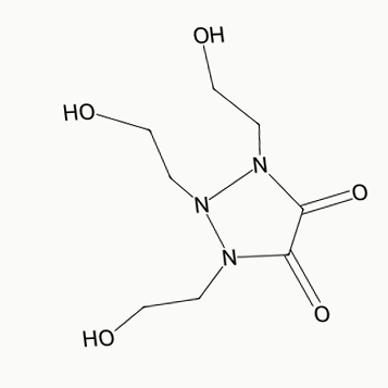 O=c1c(=O)n(CCO)n(CCO)n1CCO